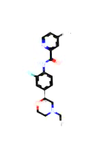 C[C](C)CN1CCO[C@@H](c2ccc(NC(=O)c3cc(C#N)ccn3)c(F)c2)C1